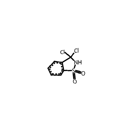 O=S1(=O)NC(Cl)(Cl)c2ccccc21